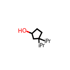 CC(C)C1(C(C)C)CCC(O)C1